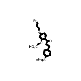 CC/C=C/COc1ccc(C(=O)/C=C/c2ccc(CCCCCCC)cc2)c(OCC(=O)O)c1